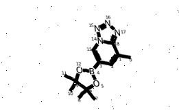 Cc1cc(B2OC(C)(C)C(C)(C)O2)cn2nnnc12